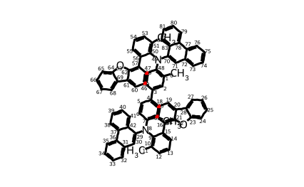 Cc1cc(-c2ccc(N(c3c(C)cccc3-c3cccc4c3oc3ccccc34)c3cc4ccccc4c4ccccc34)c(C)c2)ccc1N(c1c(C)cccc1-c1cccc2c1oc1ccccc12)c1cc2ccccc2c2ccccc12